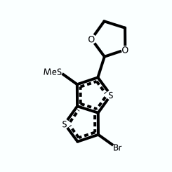 CSc1c(C2OCCO2)sc2c(Br)csc12